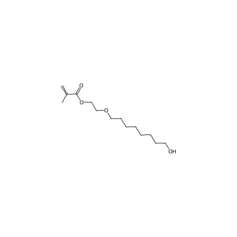 C=C(C)C(=O)OCCOCCCCCCCCO